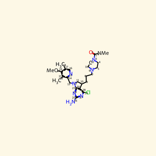 CNC(=O)N1CCN(CCCC2CN(Cc3ncc(C)c(OC)c3C)c3nc(N)nc(Cl)c32)CC1